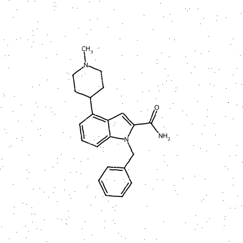 CN1CCC(c2cccc3c2cc(C(N)=O)n3Cc2ccccc2)CC1